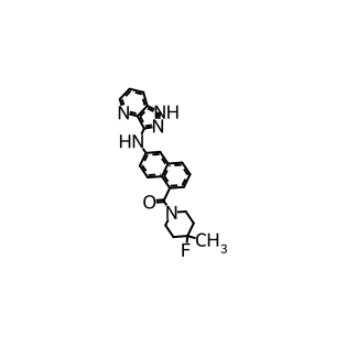 CC1(F)CCN(C(=O)c2cccc3cc(Nc4n[nH]c5cccnc45)ccc23)CC1